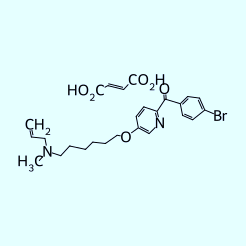 C=CCN(C)CCCCCCOc1ccc(C(=O)c2ccc(Br)cc2)nc1.O=C(O)C=CC(=O)O